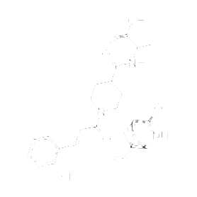 CC(NC(=O)C1CCN(C(=O)C=Cc2ccccc2Cl)CC1)C(=O)O.O=c1[nH]c2ccc1cc2Cl